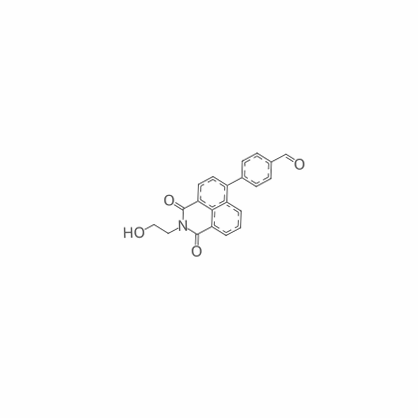 O=Cc1ccc(-c2ccc3c4c(cccc24)C(=O)N(CCO)C3=O)cc1